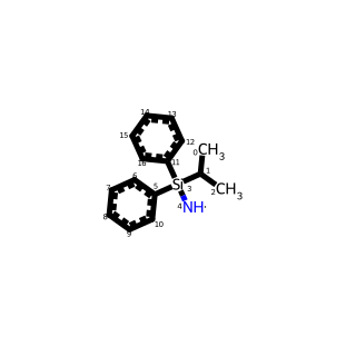 CC(C)[Si]([NH])(c1ccccc1)c1ccccc1